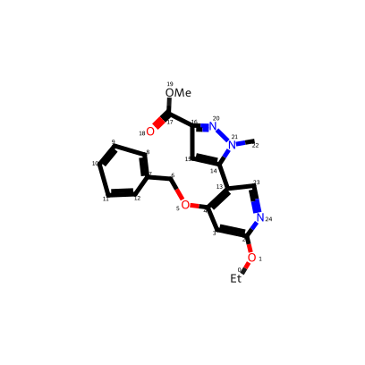 CCOc1cc(OCc2ccccc2)c(-c2cc(C(=O)OC)nn2C)cn1